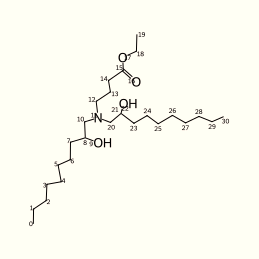 CCCCCCCCC(O)CN(CCCC(=O)OCC)CC(O)CCCCCCCC